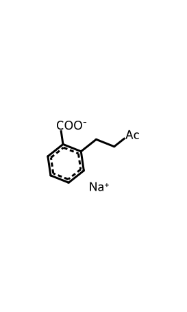 CC(=O)CCc1ccccc1C(=O)[O-].[Na+]